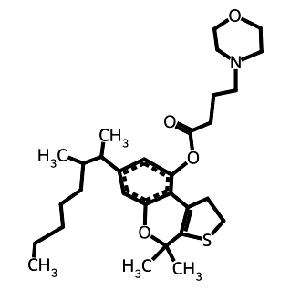 CCCCCC(C)C(C)c1cc(OC(=O)CCCN2CCOCC2)c2c(c1)OC(C)(C)C1=C2CCS1